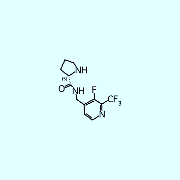 O=C(NCc1ccnc(C(F)(F)F)c1F)[C@@H]1CCCN1